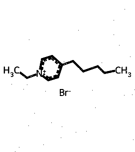 CCCCCc1cc[n+](CC)cc1.[Br-]